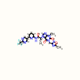 Cc1nc(Cn2c(=O)c3c(ncn3C(C)C(=O)Nc3cccc(-c4cnc(C(F)(F)F)nc4)n3)n(C)c2=O)no1